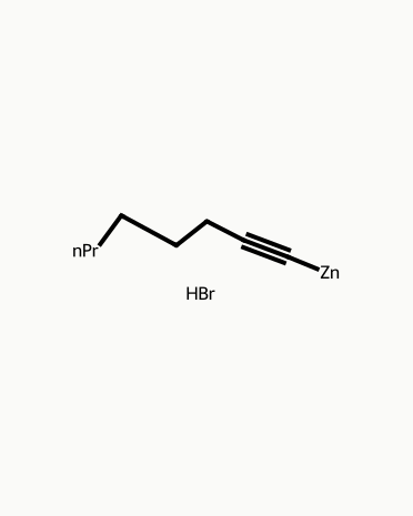 Br.CCCCCCC#[C][Zn]